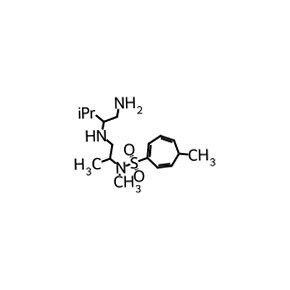 CC1C=CC=C(S(=O)(=O)N(C)C(C)CNC(CN)C(C)C)C=C1